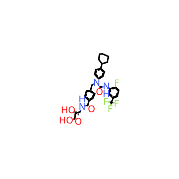 O=C(NC[C@@H](O)C(=O)O)c1ccc(CN(C(=O)Nc2cc(C(F)(F)F)ccc2F)c2ccc(C3CCCCC3)cc2)cc1